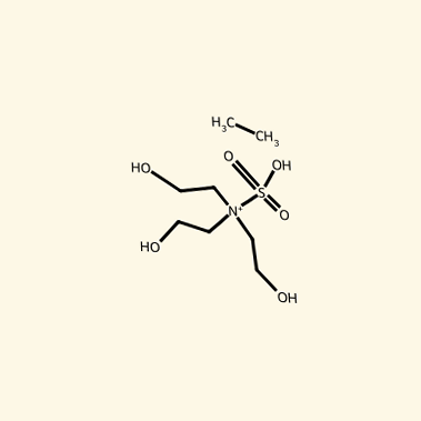 CC.O=S(=O)(O)[N+](CCO)(CCO)CCO